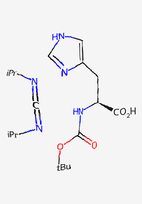 CC(C)(C)OC(=O)N[C@@H](Cc1c[nH]cn1)C(=O)O.CC(C)N=C=NC(C)C